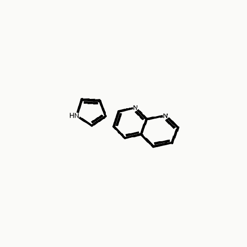 c1cc[nH]c1.c1cnc2ncccc2c1